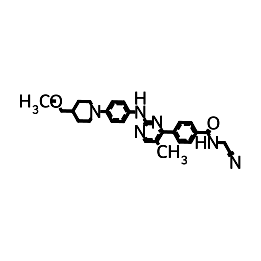 COCC1CCN(c2ccc(Nc3ncc(C)c(-c4ccc(C(=O)NCC#N)cc4)n3)cc2)CC1